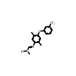 CCN(C)/C=N/c1cc(C)c(Oc2cccc(C(F)(F)F)c2)cc1C